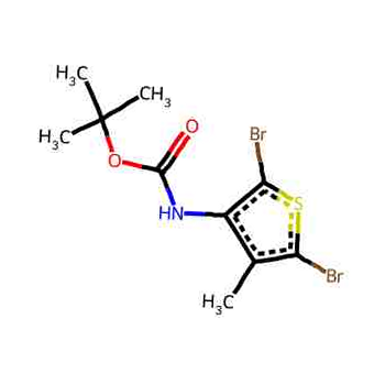 Cc1c(Br)sc(Br)c1NC(=O)OC(C)(C)C